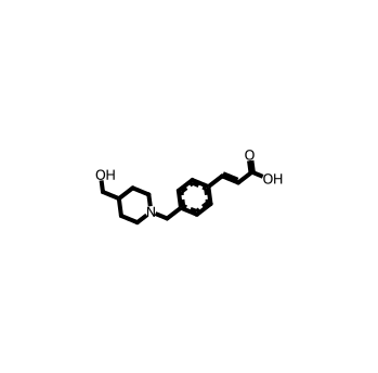 O=C(O)C=Cc1ccc(CN2CCC(CO)CC2)cc1